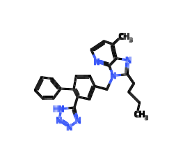 CCCCc1nc2c(C)ccnc2n1Cc1ccc(-c2ccccc2)c(-c2nnn[nH]2)c1